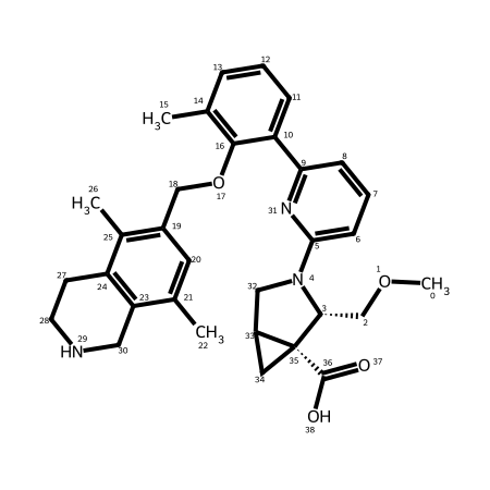 COC[C@H]1N(c2cccc(-c3cccc(C)c3OCc3cc(C)c4c(c3C)CCNC4)n2)CC2C[C@@]21C(=O)O